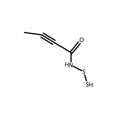 CC#CC(=O)NSS